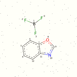 FB(F)F.c1ccc2ocnc2c1